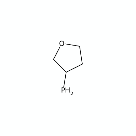 PC1CCOC1